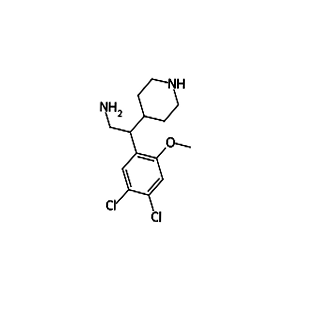 COc1cc(Cl)c(Cl)cc1C(CN)C1CCNCC1